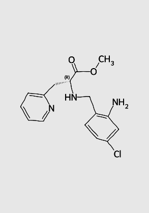 COC(=O)[C@@H](Cc1ccccn1)NCc1ccc(Cl)cc1N